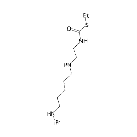 CCSC(=O)NCCNCCCCCNC(C)C